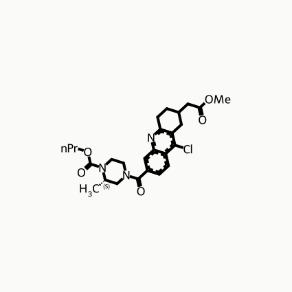 CCCOC(=O)N1CCN(C(=O)c2ccc3c(Cl)c4c(nc3c2)CCC(CC(=O)OC)C4)C[C@@H]1C